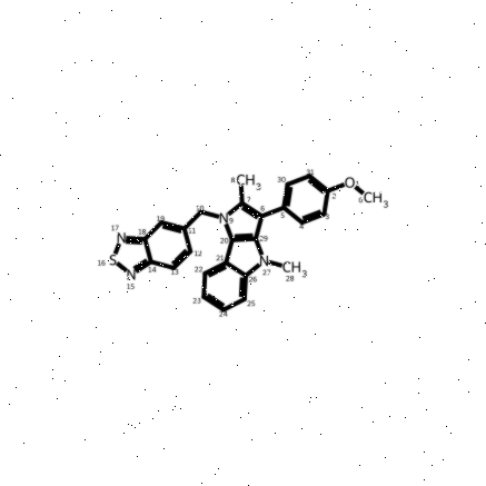 COc1ccc(-c2c(C)n(Cc3ccc4nsnc4c3)c3c4ccccc4n(C)c23)cc1